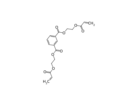 C=CC(=O)OCCOC(=O)c1cccc(C(=O)OCCOC(=O)C=C)c1